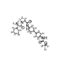 CN(C)[C@@H](C(=O)N1CCC[C@H]1C(=O)Nc1ccc(-c2ccc(NC(=O)OC(C)(C)C)cc2)cc1)c1ccccc1